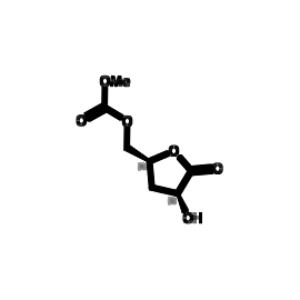 COC(=O)OC[C@@H]1C[C@H](O)C(=O)O1